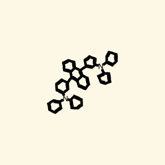 c1ccc(N(c2ccccc2)c2cccc(-c3c4ccccc4c(-c4cccc(N(c5ccccc5)c5ccccc5)c4)c4ccccc34)c2)cc1